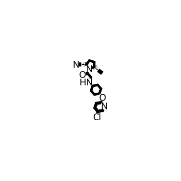 C#C[C@H]1CC[C@@H](C#N)N1C(=O)CNC1CCC(Oc2ccc(Cl)cn2)CC1